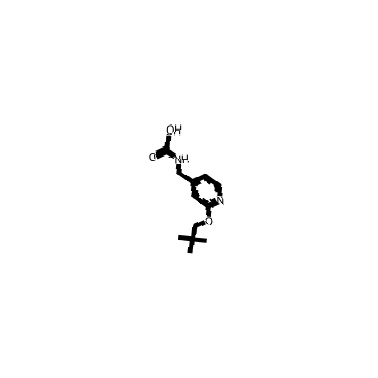 CC(C)(C)COc1cc(CNC(=O)O)ccn1